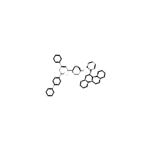 CC1(NC2=CC=C(C3C=C(c4ccccc4)CC(c4ccc(-c5ccccc5)cc4)N3)CC2)C=CC=CC1c1cc2ccccc2c2ccc3ccccc3c12